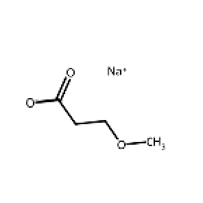 COCCC(=O)[O-].[Na+]